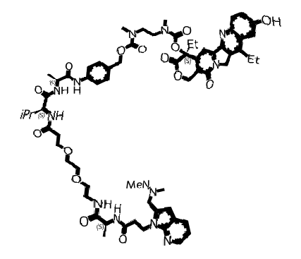 CCc1c2c(nc3ccc(O)cc13)-c1cc3c(c(=O)n1C2)COC(=O)[C@@]3(CC)OC(=O)N(C)CCN(C)C(=O)OCc1ccc(NC(=O)[C@H](C)NC(=O)[C@@H](NC(=O)CCOCCOCCNC(=O)[C@H](C)NC(=O)CCn2c(CN(C)NC)cc3cccnc32)C(C)C)cc1